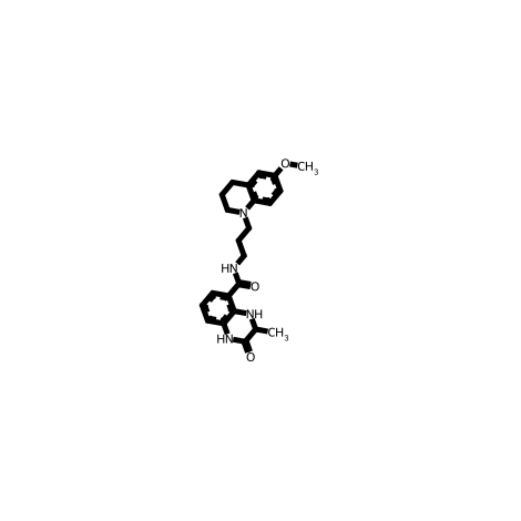 COc1ccc2c(c1)CCCN2CCCNC(=O)c1cccc2c1NC(C)C(=O)N2